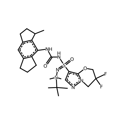 CC1CCc2cc3c(c(NC(=O)NS(=O)(=N[Si](C)(C)C(C)(C)C)c4cnn5c4OCC(F)(F)C5)c21)CCC3